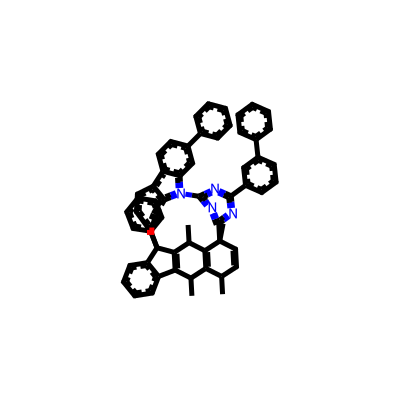 CC1C=CC2(C)C3=C1C(C)C1=C(C3C)C(c3ccccc3)(c3ccc4c5ccc(-c6ccccc6)cc5n(c4c3)-c3nc(-c4cccc(-c5ccccc5)c4)nc2n3)c2ccccc21